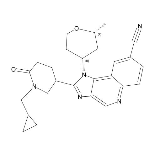 C[C@@H]1C[C@H](n2c(C3CCC(=O)N(CC4CC4)C3)nc3cnc4ccc(C#N)cc4c32)CCO1